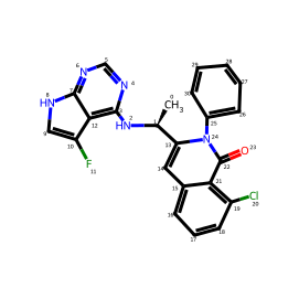 C[C@H](Nc1ncnc2[nH]cc(F)c12)c1cc2cccc(Cl)c2c(=O)n1-c1ccccc1